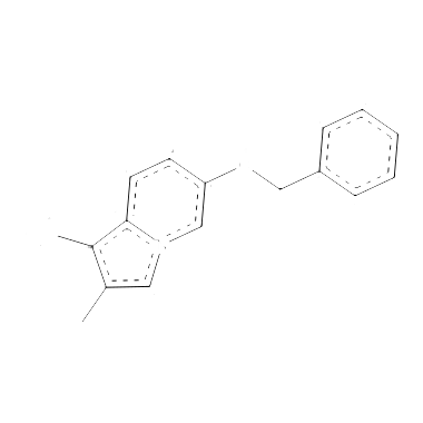 Cc1cn2cc(OCc3ccccc3)ccc2c1C(=O)O